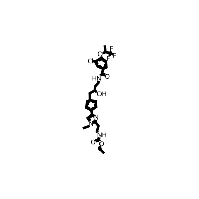 CCOC(=O)NCCc1nc(-c2ccc(CC(O)CCNC(=O)c3ccc(OC(C)C(F)(F)F)c(Cl)c3)cc2)cn1CC